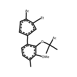 CCc1cc(-c2ccc(C)c(OC)c2OC(C)(C)C(C)=O)ccc1C(C)=O